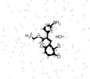 CCOC(=O)/C(=C\c1c(Cl)ccc(Cl)c1Cl)c1csc(N)n1.Cl